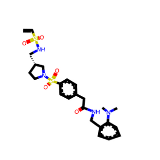 C=CS(=O)(=O)NC[C@H]1CCN(S(=O)(=O)c2ccc(CC(=O)NCc3ccccc3N(C)C)cc2)C1